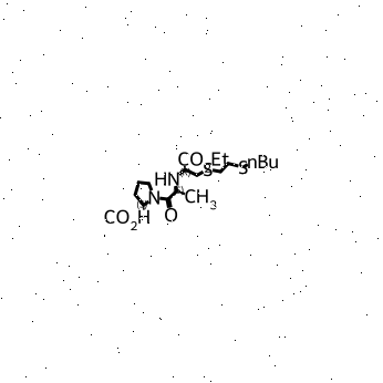 CCCCSCCSC[C@H](N[C@@H](C)C(=O)N1CCC[C@H]1C(=O)O)C(=O)OCC